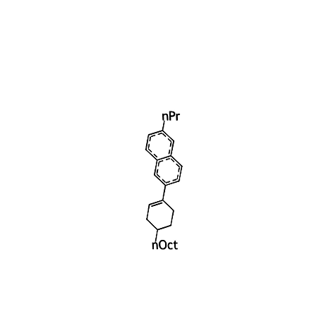 CCCCCCCCC1CC=C(c2ccc3cc(CCC)ccc3c2)CC1